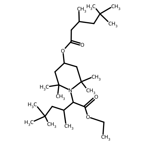 CCOC(=O)C(C(C)CC(C)(C)C)N1C(C)(C)CC(OC(=O)CC(C)CC(C)(C)C)CC1(C)C